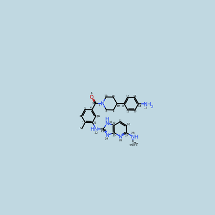 Cc1ccc(C(=O)N2CCC(c3ccc(N)cc3)CC2)cc1Nc1nc2nc(NC(C)C)ccc2[nH]1